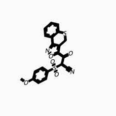 COc1ccc(S(=O)(=O)C(C#N)C(=O)c2onc3c2CSc2ccccc2-3)cc1